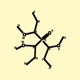 CCC(OC)P(=O)(C(CC)OC)C(CC)OC